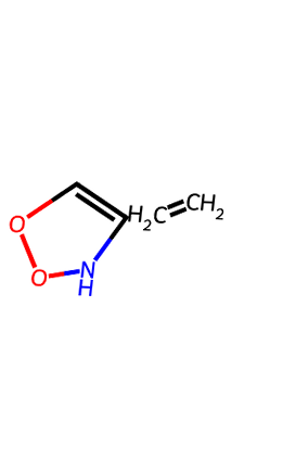 C1=COON1.C=C